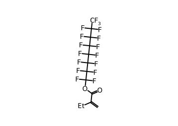 C=C(CC)C(=O)OC(F)(F)C(F)(F)C(F)(F)C(F)(F)C(F)(F)C(F)(F)C(F)(F)C(F)(F)F